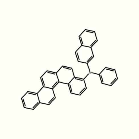 c1ccc(N(c2ccc3ccccc3c2)c2cccc3c2ccc2ccc4c5ccccc5ccc4c23)cc1